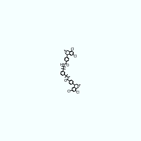 CN1Cc2c(Cl)cc(Cl)cc2C(c2ccc(C(=O)NC(C)(C)C(C)(C)c3cccc(C(C)(C)N(C)C(=O)c4ccc(C5CN(C)Cc6c(Cl)cc(Cl)cc65)cc4)c3)cc2)C1